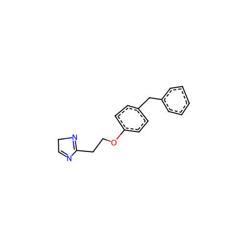 C1=NC(CCOc2ccc(Cc3ccccc3)cc2)=NC1